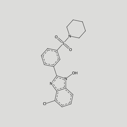 O=S(=O)(c1cccc(-c2nc3c(Cl)cccc3n2O)c1)N1CCCCC1